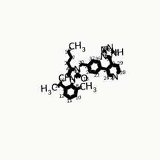 CCCCc1cn(-c2c(C)cccc2C(C)C)c(=O)n1Cc1ccc(-c2cnccc2-c2nnn[nH]2)cc1